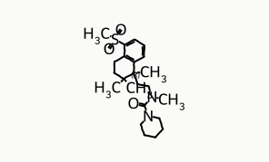 CN(CC[C@@]1(C)c2cccc(S(C)(=O)=O)c2CCC1(C)C)C(=O)N1CCCCC1